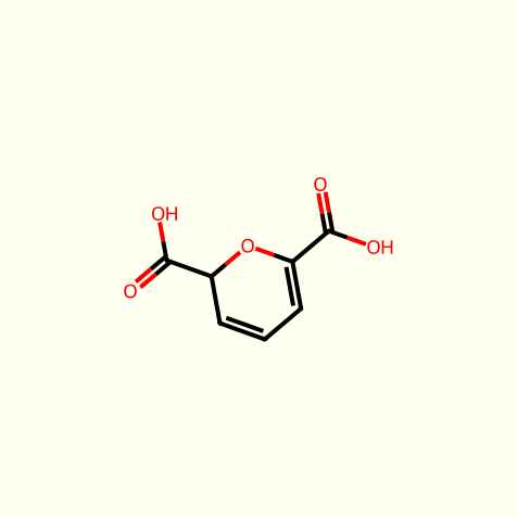 O=C(O)C1=CC=CC(C(=O)O)O1